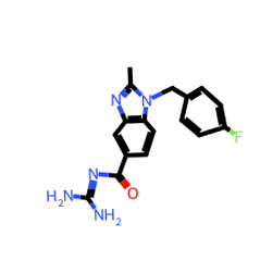 Cc1nc2cc(C(=O)N=C(N)N)ccc2n1Cc1ccc(F)cc1